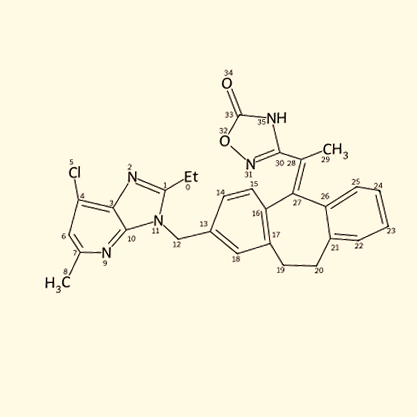 CCc1nc2c(Cl)cc(C)nc2n1Cc1ccc2c(c1)CCc1ccccc1C2=C(C)c1noc(=O)[nH]1